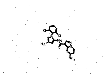 Cc1cc(NC(=O)c2cnn3ccc(N)nc23)n(-c2c(Cl)cccc2Cl)n1